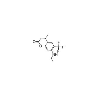 CCNc1cc2oc(=O)cc(C)c2cc1C(F)(F)F